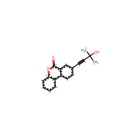 CC(C)(O)C#Cc1ccc2c(c1)c(=O)oc1ccccc12